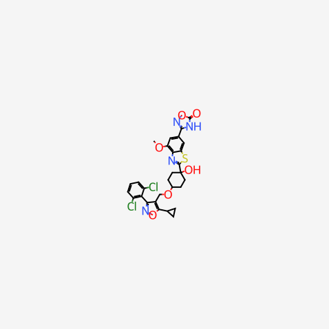 COc1cc(-c2noc(=O)[nH]2)cc2sc(C3(O)CCC(OCc4c(-c5c(Cl)cccc5Cl)noc4C4CC4)CC3)nc12